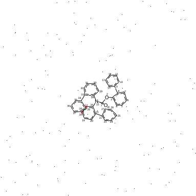 O=C(Oc1ccccc1-c1ccccc1)N(c1ccccc1-c1ccccc1)c1ccccc1-c1ccccc1